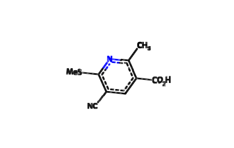 CSc1nc(C)c(C(=O)O)cc1C#N